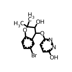 CC1(C)Oc2ccc(Br)cc2C(Oc2ccc(O)nn2)C1O